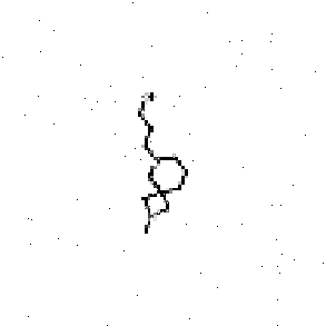 CN1CC2(CCCN(CCCO)C2)C1